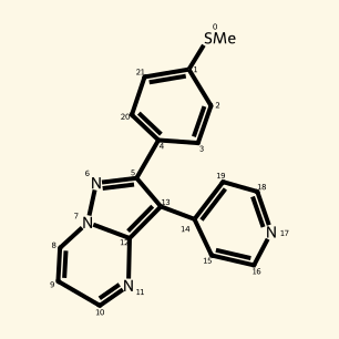 CSc1ccc(-c2nn3cccnc3c2-c2ccncc2)cc1